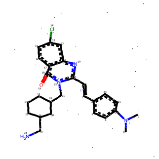 CN(C)c1ccc(/C=C/c2nc3cc(Cl)ccc3c(=O)n2CC2CCCC(CN)C2)cc1